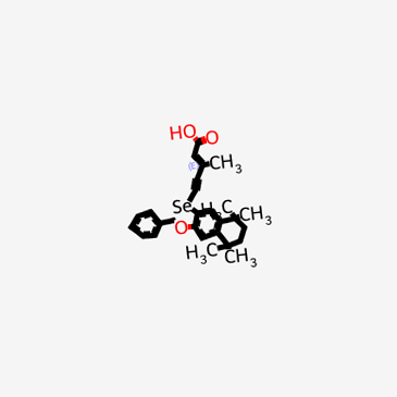 C/C(C#C[Se]c1cc2c(cc1OCc1ccccc1)C(C)(C)CCC2(C)C)=C\C(=O)O